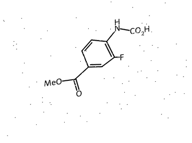 COC(=O)c1ccc(NC(=O)O)c(F)c1